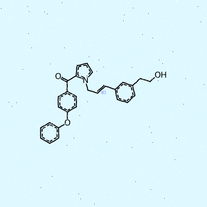 O=C(c1ccc(Oc2ccccc2)cc1)c1cccn1C/C=C/c1cccc(CCO)c1